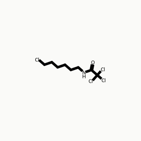 O=C(NCCCCCCCl)C(Cl)(Cl)Cl